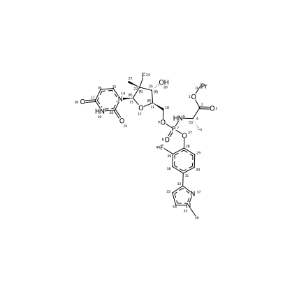 CC(C)OC(=O)[C@H](C)NP(=O)(OC[C@H]1O[C@@H](n2ccc(=O)[nH]c2=O)[C@](C)(F)[C@@H]1O)Oc1ccc(-c2ccn(C)n2)cc1F